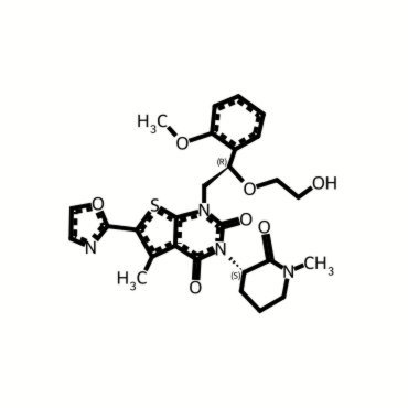 COc1ccccc1[C@H](Cn1c(=O)n([C@H]2CCCN(C)C2=O)c(=O)c2c(C)c(-c3ncco3)sc21)OCCO